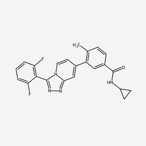 Cc1ccc(C(=O)NC2CC2)cc1-c1ccn2c(-c3c(F)cccc3F)nnc2c1